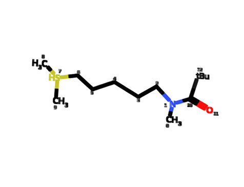 CN(CCCCC[SH](C)C)C(=O)C(C)(C)C